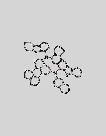 c1ccc(-c2ccc(N(c3cccc4ccccc34)c3cccc4c3sc3ccccc34)c3cc(N(c4ccc5ccccc5c4)c4cccc5c4sc4ccccc45)cc(-c4ccccc4)c23)cc1